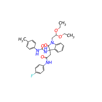 CCOC(CN1C(=O)C(CC(=O)Nc2ccc(F)cc2)(NC(=O)Nc2ccc(C)cc2)c2ccccc21)OCC